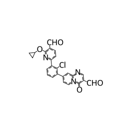 O=Cc1ccc(-c2cccc(-c3ccn4c(=O)c(C=O)cnc4c3)c2Cl)nc1OC1CC1